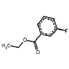 CCOC(=O)c1cc[c]c(F)c1